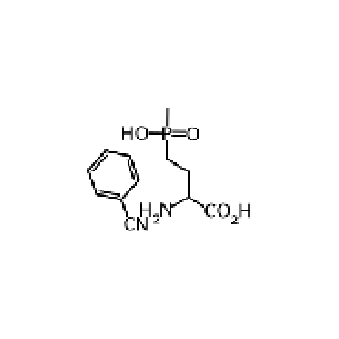 CP(=O)(O)CCC(N)C(=O)O.N#Cc1ccccc1